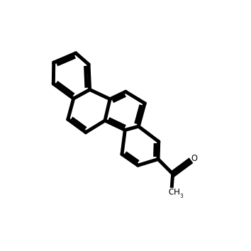 CC(=O)c1ccc2c(ccc3c4ccccc4ccc23)c1